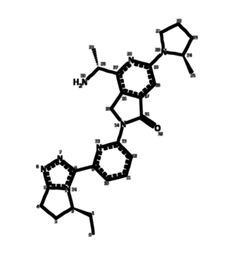 CC[C@H]1CCc2nnc(-c3cccc(N4Cc5c(cc(N6CCC[C@H]6C)nc5[C@@H](C)N)C4=O)n3)n21